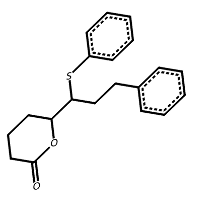 O=C1CCCC(C(CCc2ccccc2)Sc2ccccc2)O1